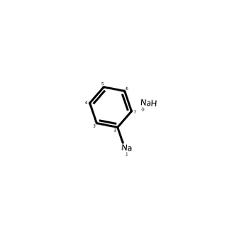 [NaH].[Na][c]1ccccc1